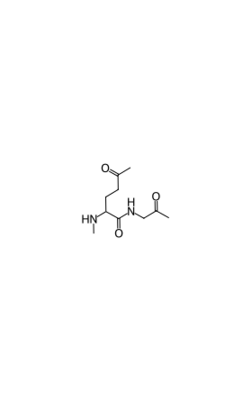 CNC(CCC(C)=O)C(=O)NCC(C)=O